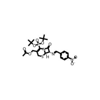 CC(=O)OCC1=C(P(=O)(OC(C)(C)C)OC(C)(C)C)N2C(=O)[C@H](/N=C/c3ccc([N+](=O)[O-])cc3)[C@H]2SC1